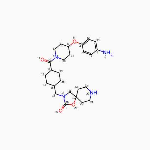 Nc1ccc(OC2CCN(C(=O)C3CCC(CN4CC5(CCNCC5)OC4=O)CC3)CC2)cc1